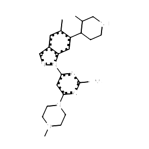 COc1nc(N2CCN(C)CC2)cc(-n2ncc3cc(C)c(C4CCNCC4F)cc32)n1